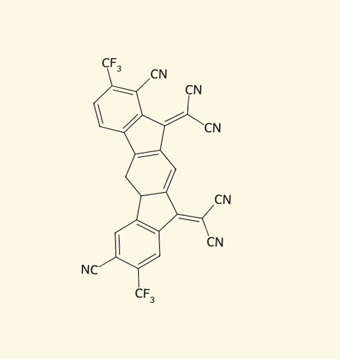 N#CC(C#N)=C1C2=CC3=C(CC2c2cc(C#N)c(C(F)(F)F)cc21)c1ccc(C(F)(F)F)c(C#N)c1C3=C(C#N)C#N